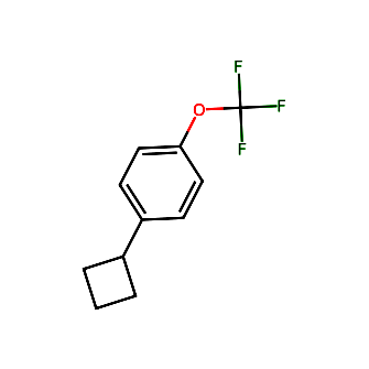 FC(F)(F)Oc1ccc(C2CCC2)cc1